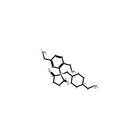 NCc1ccc(CN)c([N+]2(CC3CCC(CN)CC3)C(=O)CCC2=O)c1